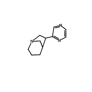 c1cnc(C2CN3CCCC2C3)cn1